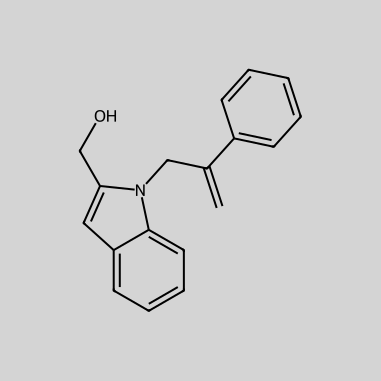 C=C(Cn1c(CO)cc2ccccc21)c1ccccc1